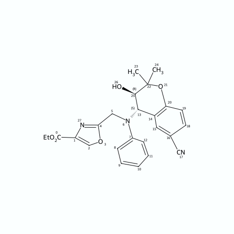 CCOC(=O)c1coc(CN(c2ccccc2)[C@H]2c3cc(C#N)ccc3OC(C)(C)[C@@H]2O)n1